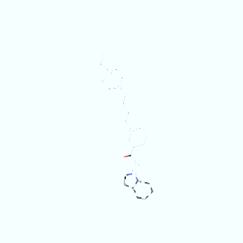 O=C(Nn1ccc2ccccc21)C1CCCN(CCCCN2CCN(CCO)CC2)C1